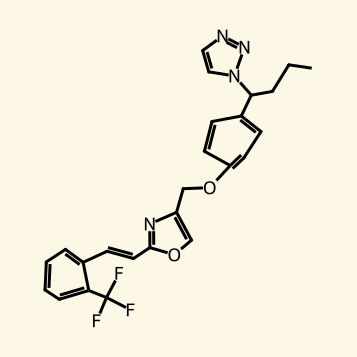 CCCC(c1ccc(OCc2coc(C=Cc3ccccc3C(F)(F)F)n2)cc1)n1ccnn1